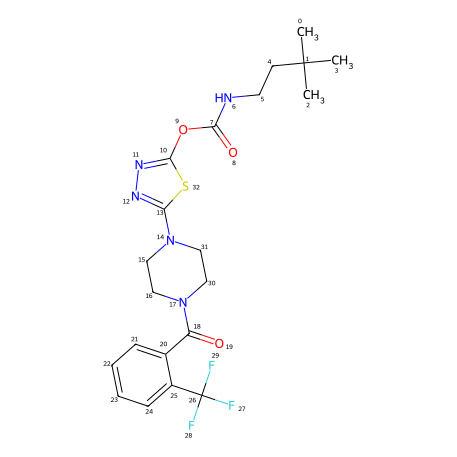 CC(C)(C)CCNC(=O)Oc1nnc(N2CCN(C(=O)c3ccccc3C(F)(F)F)CC2)s1